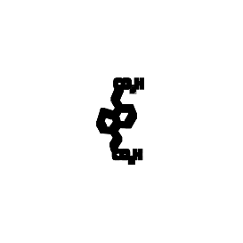 O=C(O)C=Cc1cccc2c(C=CC(=O)O)cccc12